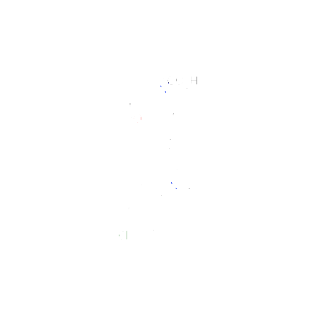 CN(c1ccc(Cl)cc1)c1ccc([C@H]2CN(C(=O)O)CCO2)cc1